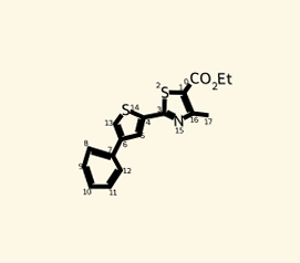 CCOC(=O)c1sc(-c2cc(-c3ccccc3)cs2)nc1C